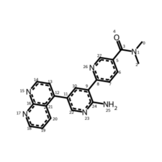 CN(C)C(=O)c1ccc(-c2cc(-c3ccnc4ncccc34)cnc2N)nc1